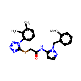 COc1ccccc1Cn1nccc1NC(=O)CSc1nnnn1-c1cccc(C)c1C